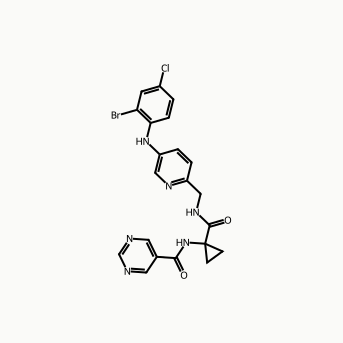 O=C(NC1(C(=O)NCc2ccc(Nc3ccc(Cl)cc3Br)cn2)CC1)c1cncnc1